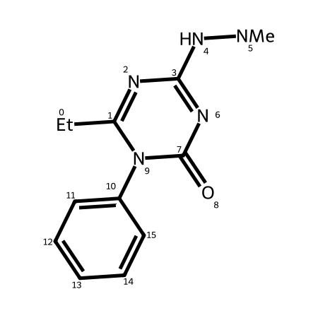 CCc1nc(NNC)nc(=O)n1-c1ccccc1